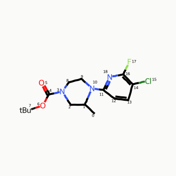 CC1CN(C(=O)OC(C)(C)C)CCN1c1ccc(Cl)c(F)n1